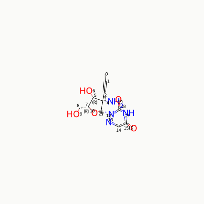 CC#CC1(N)[C@@H](O)[C@@H](CO)O[C@H]1n1ncc(=O)[nH]c1=O